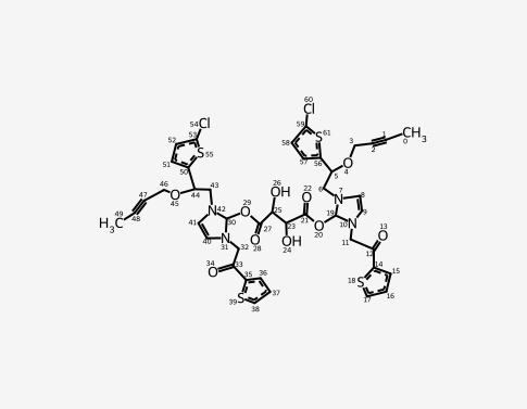 CC#CCOC(CN1C=CN(CC(=O)c2cccs2)C1OC(=O)C(O)C(O)C(=O)OC1N(CC(=O)c2cccs2)C=CN1CC(OCC#CC)c1ccc(Cl)s1)c1ccc(Cl)s1